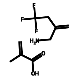 C=C(C)C(=O)O.C=C(CN)CC(F)(F)F